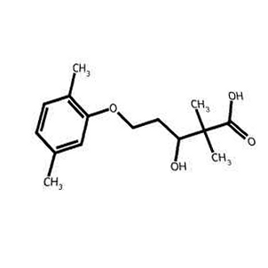 Cc1ccc(C)c(OCCC(O)C(C)(C)C(=O)O)c1